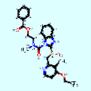 Cc1c(OCC(F)(F)F)ccnc1C[S@@+]([O-])c1nc2ccccc2n1C(=O)N(C)CCOC(=O)c1ccccc1